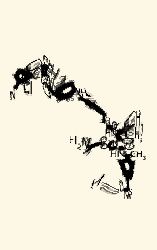 Cc1ncsc1-c1ccc([C@H](C)NC(=O)[C@@H]2C[C@@H](OC(=O)CN)CN2C(=O)C(NC(=O)COCCCCCNc2ccc(C(=O)N[C@H]3C(C)(C)[C@H](Oc4ccc(C#N)c(Cl)c4)C3(C)C)cc2)C(C)(C)C)cc1